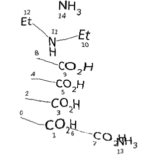 CC(=O)O.CC(=O)O.CC(=O)O.CC(=O)O.CC(=O)O.CCNCC.N.N